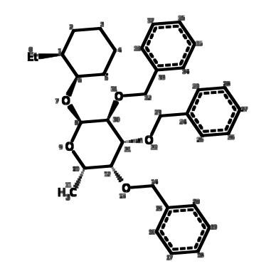 CC[C@H]1CCC[CH][C@H]1O[C@@H]1O[C@@H](C)[C@@H](OCc2ccccc2)[C@@H](OCc2ccccc2)[C@@H]1OCc1ccccc1